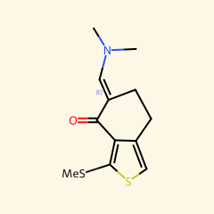 CSc1scc2c1C(=O)/C(=C/N(C)C)CC2